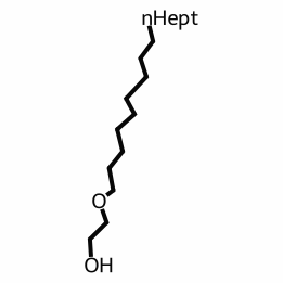 CCCCCCCCCCCCCCCCOCCO